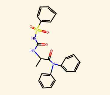 CC(NC(=O)NS(=O)(=O)c1ccccc1)C(=O)N(c1ccccc1)c1ccccc1